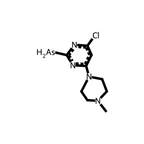 CN1CCN(c2cc(Cl)nc([AsH2])n2)CC1